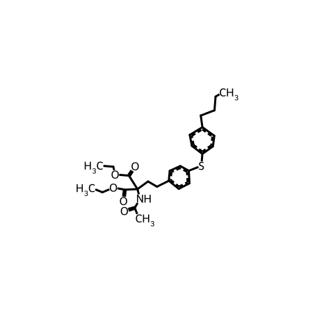 CCCCc1ccc(Sc2ccc(CCC(NC(C)=O)(C(=O)OCC)C(=O)OCC)cc2)cc1